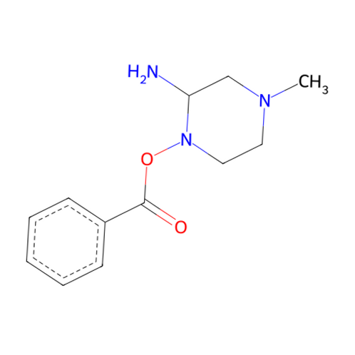 CN1CCN(OC(=O)c2ccccc2)C(N)C1